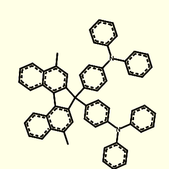 Cc1cc2c(c3ccccc13)-c1c(cc(C)c3ccccc13)C2(c1ccc(N(c2ccccc2)c2ccccc2)cc1)c1ccc(N(c2ccccc2)c2ccccc2)cc1